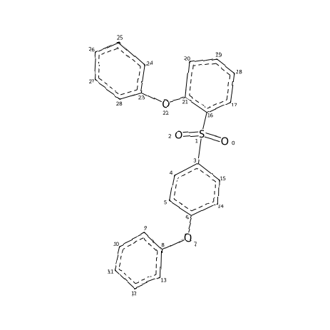 O=S(=O)(c1ccc(Oc2ccccc2)cc1)c1ccccc1Oc1ccccc1